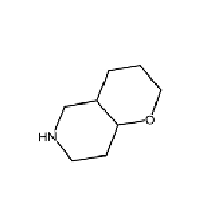 C1COC2CCNCC2C1